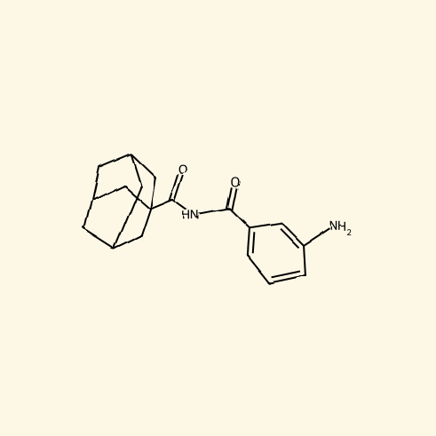 Nc1cccc(C(=O)NC(=O)C23CC4CC(CC(C4)C2)C3)c1